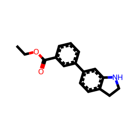 CCOC(=O)c1cccc(-c2ccc3c(c2)NCC3)c1